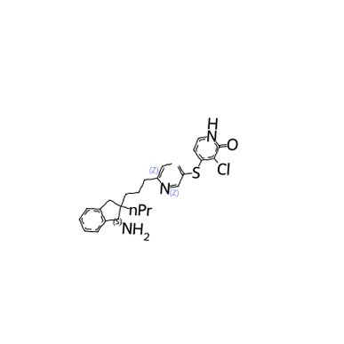 C=C(/C=N\C(=C/C)CCCC1(CCC)Cc2ccccc2[C@H]1N)Sc1cc[nH]c(=O)c1Cl